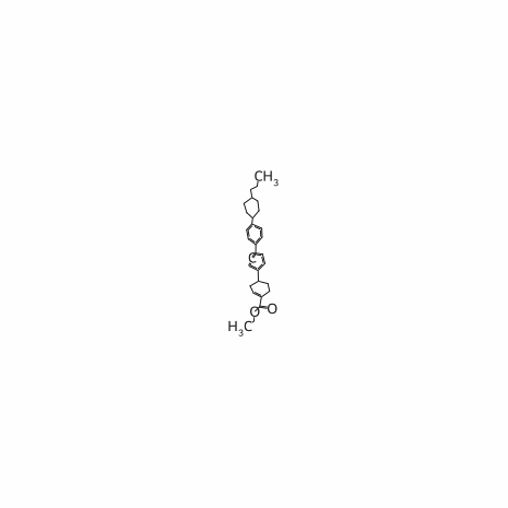 CCCC1CCC(c2ccc(-c3ccc(C4CC=C(C(=O)OCC)CC4)cc3)cc2)CC1